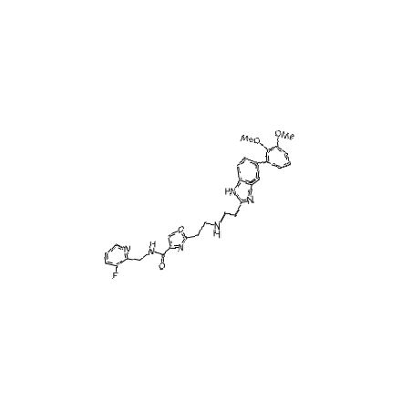 COc1cccc(-c2ccc3[nH]c(CCNCCc4nc(C(=O)NCc5ncccc5F)co4)nc3c2)c1OC